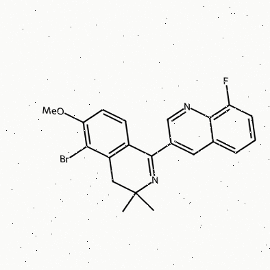 COc1ccc2c(c1Br)CC(C)(C)N=C2c1cnc2c(F)cccc2c1